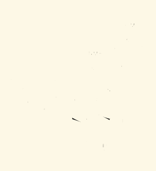 CNC(=O)[C@H](CCC(=O)OC)NC(=O)[C@@H](C(=O)O)[C@H](CSc1ccc(O)cc1)CC(C)C